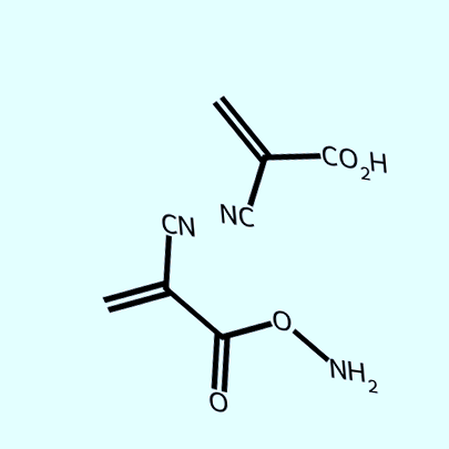 C=C(C#N)C(=O)O.C=C(C#N)C(=O)ON